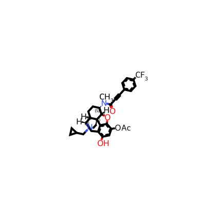 CC(=O)Oc1cc(O)c2c3c1O[C@H]1[C@@H](N(C)C(=O)C#Cc4ccc(C(F)(F)F)cc4)CC[C@H]4[C@@H](C2)N(CC2CC2)CC[C@@]341